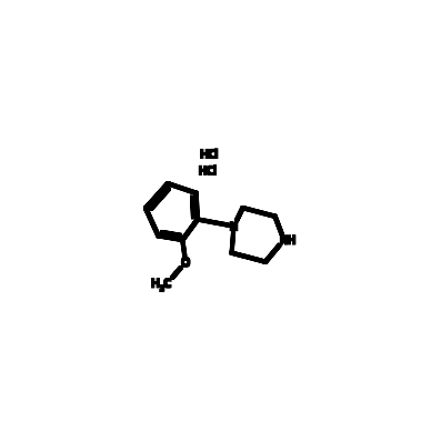 COc1ccccc1N1CCNCC1.Cl.Cl